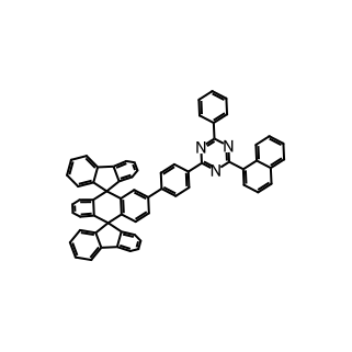 c1ccc(-c2nc(-c3ccc(-c4ccc5c(c4)C4(c6ccccc6-c6ccccc64)c4ccccc4C54c5ccccc5-c5ccccc54)cc3)nc(-c3cccc4ccccc34)n2)cc1